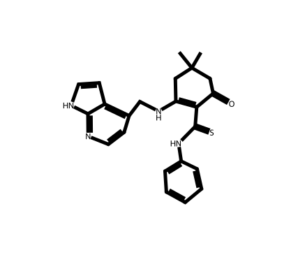 CC1(C)CC(=O)C(C(=S)Nc2ccccc2)=C(NCc2ccnc3[nH]ccc23)C1